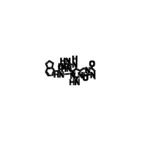 CN1CC(=O)N(CC2NC(=N)N3CC(NC(=O)c4cccc5c4CCC5)[C@@H](O)C34NC(=N)NC24)C1=O